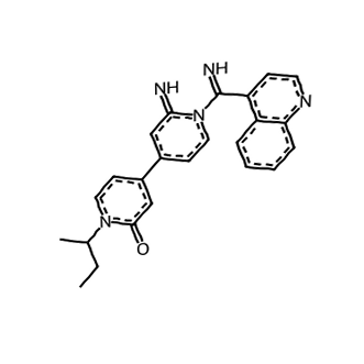 CCC(C)n1ccc(-c2ccn(C(=N)c3ccnc4ccccc34)c(=N)c2)cc1=O